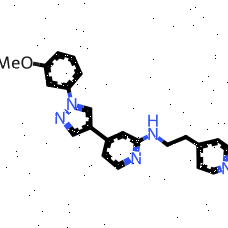 COc1cccc(-n2cc(-c3ccnc(NCCc4ccncc4)c3)cn2)c1